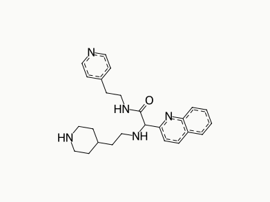 O=C(NCCc1ccncc1)C(NCCC1CCNCC1)c1ccc2ccccc2n1